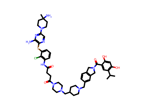 CC(C)c1cc(C(=O)N2Cc3ccc(CN4CCC(CN5CCN(C(=O)CCC(=O)Nc6cccc(Sc7ncc(N8CCC(C)(N)CC8)nc7N)c6Cl)CC5)CC4)cc3C2)c(O)cc1O